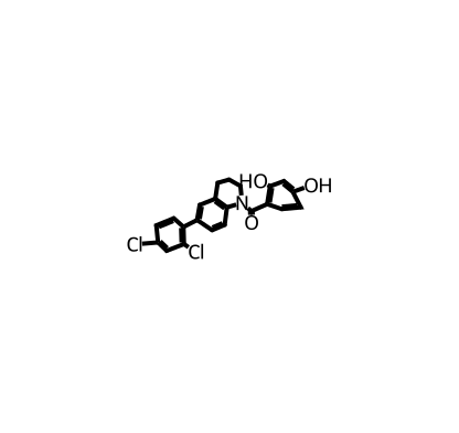 O=C(c1ccc(O)cc1O)N1CCCc2cc(-c3ccc(Cl)cc3Cl)ccc21